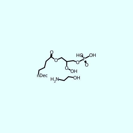 CCCCCCCCCCCCCC(=O)OCC(COP(=O)(O)O)OO.NCCO